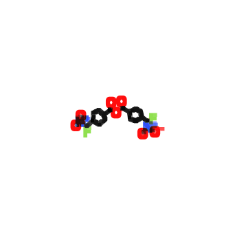 O=C(OC(=O)c1ccc(C(F)[N+](=O)[O-])cc1)c1ccc(C(F)[N+](=O)[O-])cc1